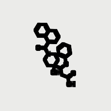 O=C(O)CC(Oc1ccccc1)C1(O)CCN(C(=O)c2cccc3ccccc23)CC1